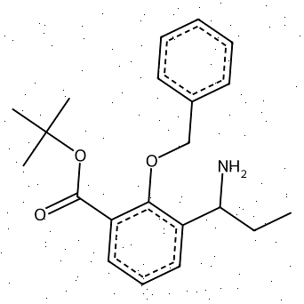 CCC(N)c1cccc(C(=O)OC(C)(C)C)c1OCc1ccccc1